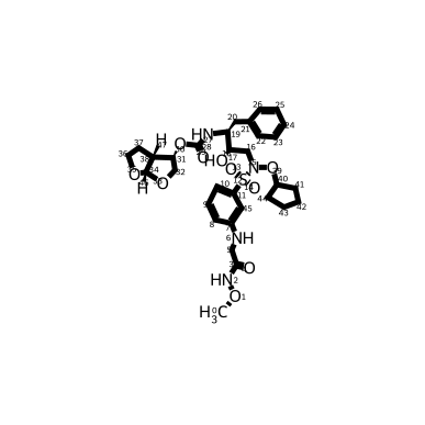 CONC(=O)CNc1cccc(S(=O)(=O)N(C[C@@H](O)[C@H](Cc2ccccc2)NC(=O)O[C@@H]2CO[C@@H]3OCC[C@@H]32)OC2CCCC2)c1